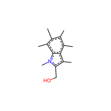 Cc1c(C)c(C)c2c(c1C)c(C)c(CO)n2C